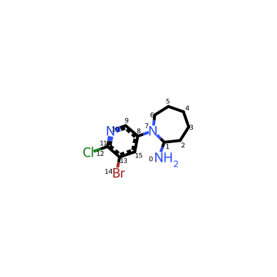 NC1CCCCCN1c1cnc(Cl)c(Br)c1